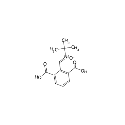 CC(C)(C)/[N+]([O-])=C/c1c(C(=O)O)cccc1C(=O)O